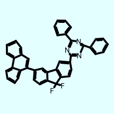 FC1(F)c2ccc(-c3nc(-c4ccccc4)nc(-c4ccccc4)n3)cc2-c2cc(-c3cc4ccccc4c4ccccc34)ccc21